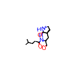 CC(C)CCC(=O)NC(C=O)CC1CCNC1=O